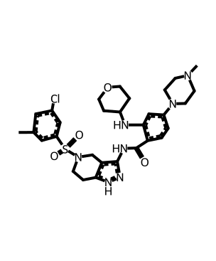 Cc1cc(Cl)cc(S(=O)(=O)N2CCc3[nH]nc(NC(=O)c4ccc(N5CCN(C)CC5)cc4NC4CCOCC4)c3C2)c1